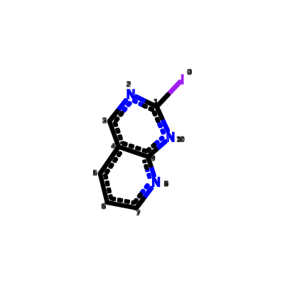 Ic1ncc2cccnc2n1